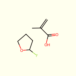 C=C(C)C(=O)O.FC1CCCO1